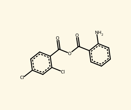 Nc1ccccc1C(=O)OC(=O)c1ccc(Cl)cc1Cl